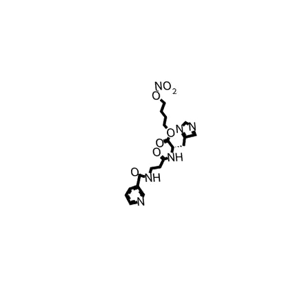 O=C(CCNC(=O)c1cccnc1)N[C@@H](CC1=NCN=C1)C(=O)OCCCCO[N+](=O)[O-]